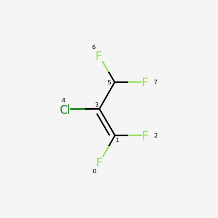 FC(F)=C(Cl)C(F)F